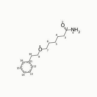 NC(=O)CCCCCOCCc1ccccc1